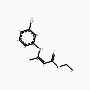 CCOC(=O)/C=C(/C)Oc1cccc(Br)c1